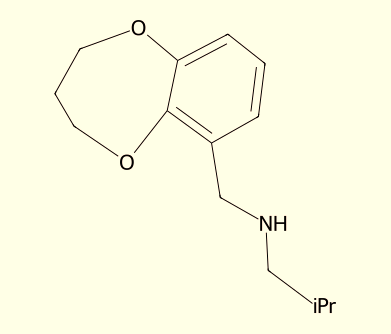 CC(C)CNCc1cccc2c1OCCCO2